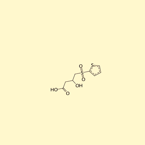 O=C(O)CC(O)CS(=O)(=O)c1cccs1